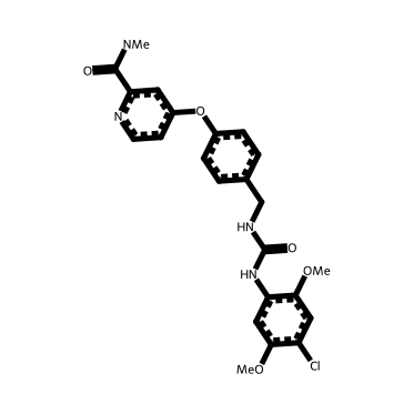 CNC(=O)c1cc(Oc2ccc(CNC(=O)Nc3cc(OC)c(Cl)cc3OC)cc2)ccn1